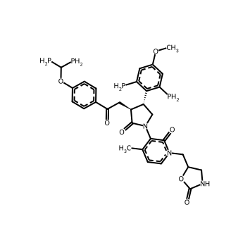 COc1cc(P)c([C@@H]2CN(c3c(C)ccn(CC4CNC(=O)O4)c3=O)C(=O)[C@H]2CC(=O)c2ccc(OC(P)P)cc2)c(P)c1